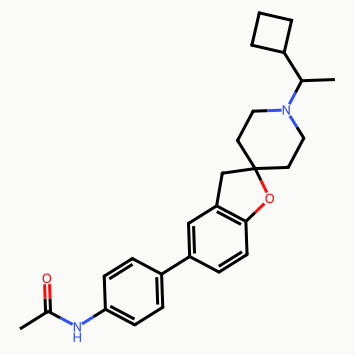 CC(=O)Nc1ccc(-c2ccc3c(c2)CC2(CCN(C(C)C4CCC4)CC2)O3)cc1